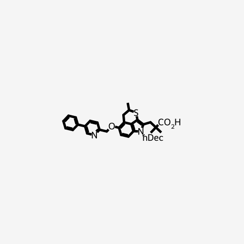 CCCCCCCCCCn1c(CC(C)(C)C(=O)O)c2c3c(c(OCc4ccc(-c5ccccc5)cn4)ccc31)CC(C)S2